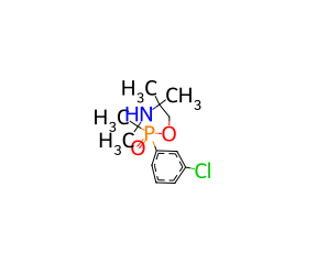 CC1(C)COP(=O)(c2cccc(Cl)c2)C(C)(C)N1